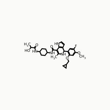 COc1cc(OCC2CC2)c(C2NC(C)=C(C(=O)NC3CCC(NC(=O)C(C)O)CC3)c3[nH]ccc32)cc1F